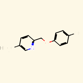 O=C(O)c1ccc(COc2ccc(C(F)(F)F)cc2)nc1